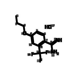 CCCOc1ccc(C(=N)N)c(C(F)(F)F)c1.Cl